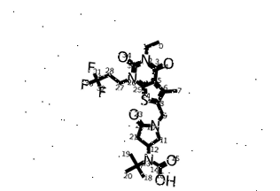 CCn1c(=O)c2c(C)c(CN3CC(N(C(=O)O)C(C)(C)C)CC3=O)sc2n(CCC(F)(F)F)c1=O